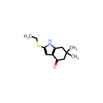 CCSc1cc2c([nH]1)CC(C)(C)CC2=O